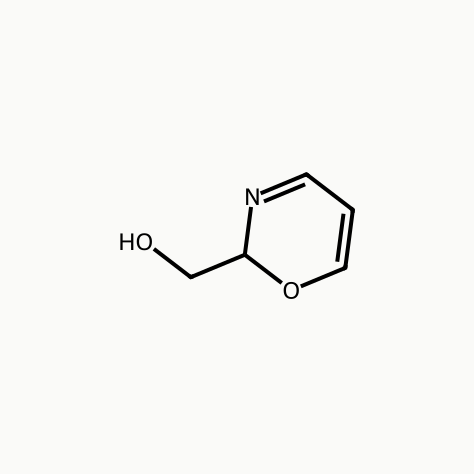 OCC1N=CC=CO1